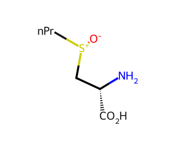 CCC[S+]([O-])C[C@H](N)C(=O)O